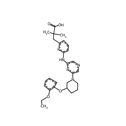 CCOc1ccccc1OC1CCCN(c2cncc(Nc3cccc(CC(C)(C)C(=O)O)n3)n2)C1